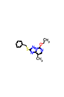 CCOc1ncc(C)c2nc(SCc3ccccc3)nn12